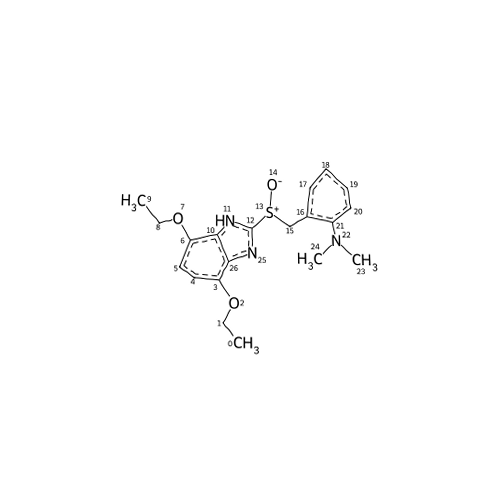 CCOc1ccc(OCC)c2[nH]c([S+]([O-])Cc3ccccc3N(C)C)nc12